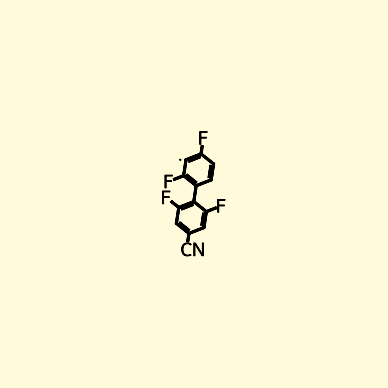 N#Cc1cc(F)c(-c2ccc(F)[c]c2F)c(F)c1